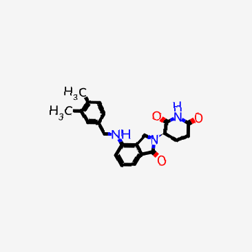 Cc1ccc(CNc2cccc3c2CN([C@H]2CCC(=O)NC2=O)C3=O)cc1C